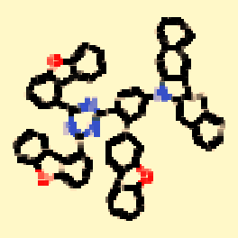 c1ccc2cc3c(cc2c1)c1cc2ccccc2cc1n3-c1ccc(-c2nc(-c3cccc4oc5ccccc5c34)nc(-c3cccc4oc5ccccc5c34)n2)c(-c2ccc3c(c2)oc2ccccc23)c1